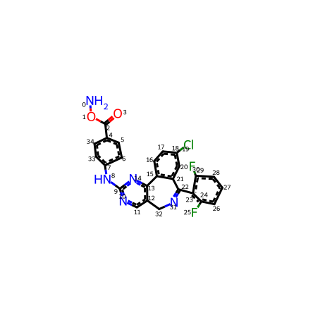 NOC(=O)c1ccc(Nc2ncc3c(n2)-c2ccc(Cl)cc2C(c2c(F)cccc2F)=NC3)cc1